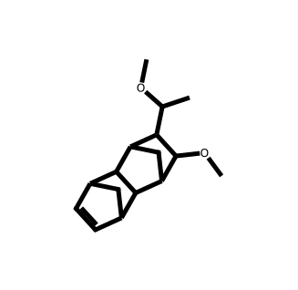 COC(C)C1C2CC(C1OC)C1C3C=CC(C3)C21